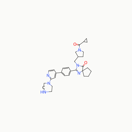 O=C(C1CC1)N1CCC(CN2C(=O)C3(CCCC3)N=C2c2ccc(-c3ccnc(N4CCNCC4)c3)cc2)C1